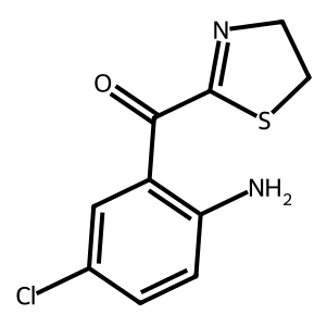 Nc1ccc(Cl)cc1C(=O)C1=NCCS1